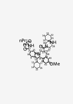 CCCS(=O)(=O)NC(=O)c1ccc2c(C3CCCCC3)c3n(c2c1)CC1(C(=O)N2CCNC4(CCCCC4)C2)CC1c1cc(OC)ccc1-3